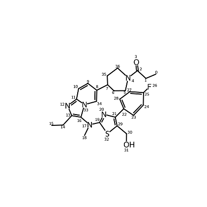 CCC(=O)N1CCC(c2ccc3nc(CC)c(N(C)c4nc(-c5ccc(F)cc5)c(CO)s4)n3c2)CC1